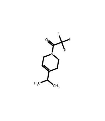 CC(C)C1=CCN(C(=O)C(F)(F)F)CC1